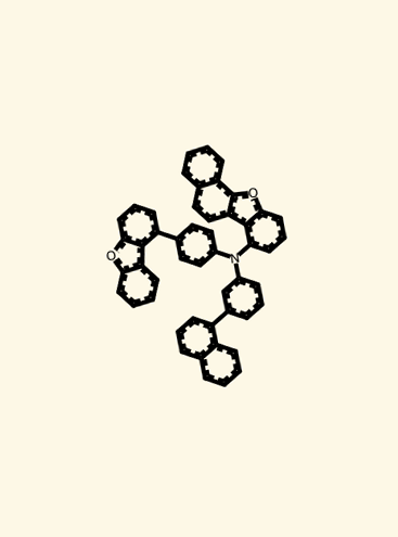 c1cc(-c2cccc3ccccc23)cc(N(c2ccc(-c3cccc4oc5ccccc5c34)cc2)c2cccc3oc4c5ccccc5ccc4c23)c1